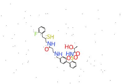 C[C@H](O)C(=O)NS(=O)(=O)c1ccccc1-c1ccc(CNCCC(=O)NC[C@H](S)Cc2ccccc2F)cc1